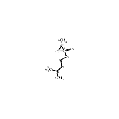 C[C@H]1OP1(=O)OCCN(C)C